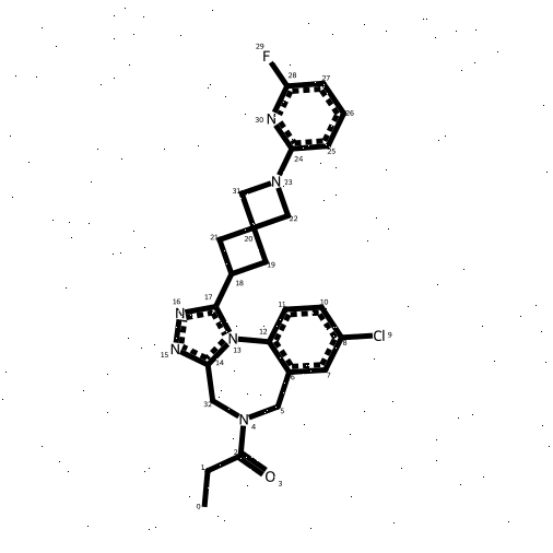 CCC(=O)N1Cc2cc(Cl)ccc2-n2c(nnc2C2CC3(C2)CN(c2cccc(F)n2)C3)C1